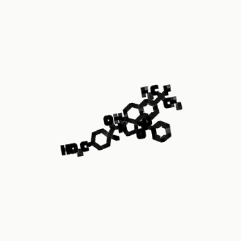 C[C@]1(C(=O)N2CC[C@@]3(S(=O)(=O)c4ccccc4)c4ccc(C(F)(C(F)(F)F)C(F)(F)F)cc4CC[C@@H]23)CC[C@H](C(=O)O)CC1